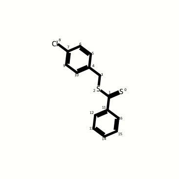 S=C(SCc1ccc(Cl)cc1)c1ccccc1